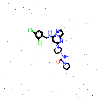 O=C(N[C@@H]1CCN(c2cc(NCc3ccc(Cl)cc3Cl)n3nccc3n2)C1)N1CCCC1